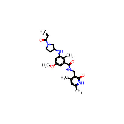 C=CC(=O)N1CCC(Nc2cc(OC)cc(C(=O)NCc3c(C)cc(C)[nH]c3=O)c2C)C1